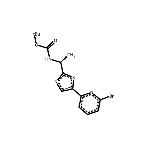 C[C@H](NC(=O)OC(C)(C)C)c1ncc(-c2cccc(Br)n2)s1